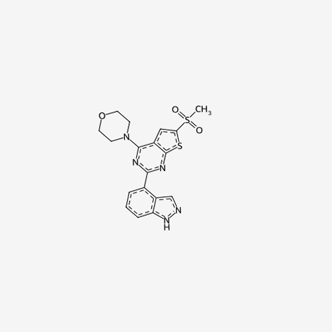 CS(=O)(=O)c1cc2c(N3CCOCC3)nc(-c3cccc4[nH]ncc34)nc2s1